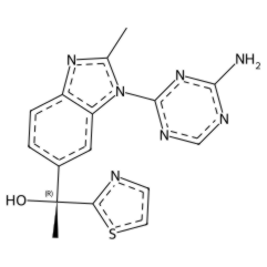 Cc1nc2ccc([C@@](C)(O)c3nccs3)cc2n1-c1ncnc(N)n1